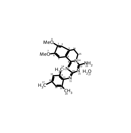 COc1cc2c(cc1OC)-c1nc(=Nc3c(C)cc(C)cc3C)nc(N)n1CC2.O